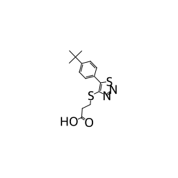 CC(C)(C)c1ccc(-c2snnc2SCCC(=O)O)cc1